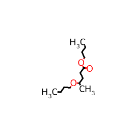 CCCCOC(=O)CCC(C)OCCCC